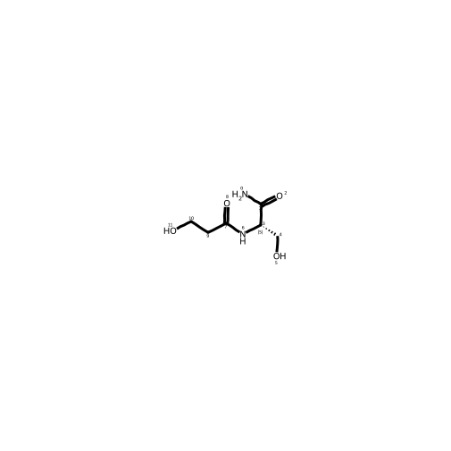 NC(=O)[C@H](CO)NC(=O)CCO